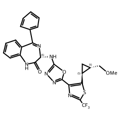 COC[C@H]1C[C@@H]1c1sc(C(F)(F)F)nc1-c1nnc(N[C@H]2N=C(c3ccccc3)c3ccccc3NC2=O)o1